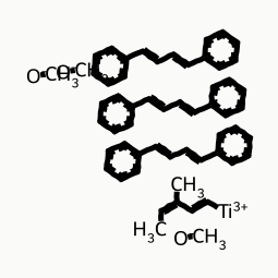 C(C=Cc1ccccc1)=Cc1ccccc1.C(C=Cc1ccccc1)=Cc1ccccc1.C(C=Cc1ccccc1)=Cc1ccccc1.CC=C(C)C=[CH][Ti+3].C[O-].C[O-].C[O-]